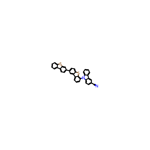 N#Cc1ccc2c(c1)c1ccccc1n2-c1cccc2c1sc1ccc(-c3ccc4c(c3)sc3ccccc34)cc12